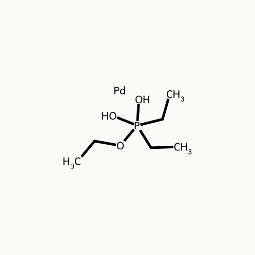 CCOP(O)(O)(CC)CC.[Pd]